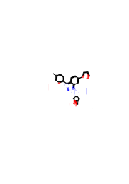 C#Cc1ccc(-c2nnc(NC3CC(C)(O)C3)c3cc(-c4ccco4)ccc23)c(O)c1